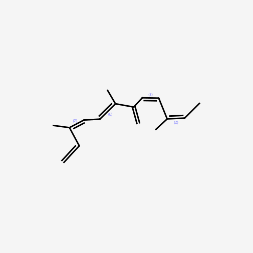 C=C/C(C)=C\C=C(/C)C(=C)/C=C\C(C)=C/C